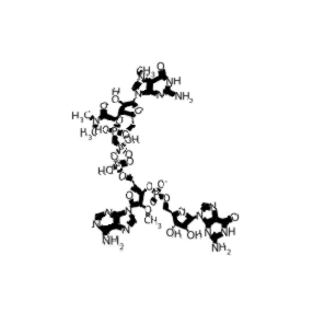 CO[C@@H]1[C@H](OP(=O)([O-])OC[C@H]2O[C@@H](n3cnc4c(=O)[nH]c(N)nc43)[C@H](O)[C@@H]2O)[C@@H](COP(=O)(O)OP(=O)(O)CP(=O)(O)OC[C@H]2O[C@@H](n3c[n+](C)c4c(=O)[nH]c(N)nc43)[C@H](O)[C@@H]2CC(=O)N(C)C)O[C@H]1n1cnc2c(N)ncnc21